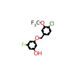 Oc1cc(F)cc(OCc2ccc(Cl)c(OC(F)(F)F)c2)c1